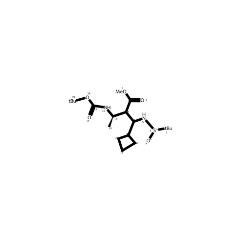 COC(=O)C(C(N[S+]([O-])C(C)(C)C)C1CCC1)[C@@H](C)NC(=O)OC(C)(C)C